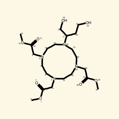 COC(=O)CN1CCN(CC(=O)OC)CCN(C(CO)CCO)CCN(CC(=O)OC)CC1